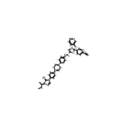 CCC(C)n1ncn(-c2ccc(N3CCN(c4ccc(OC[C@@H]5CO[C@@](Cc6ccnnc6)(c6ccc(C#N)cc6)O5)cc4)CC3)cc2)c1=O